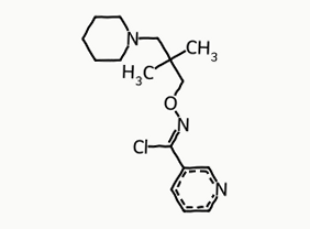 CC(C)(CON=C(Cl)c1cccnc1)CN1CCCCC1